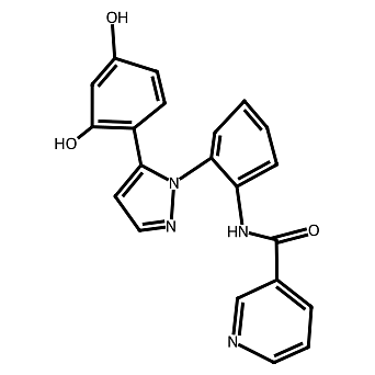 O=C(Nc1ccccc1-n1nccc1-c1ccc(O)cc1O)c1cccnc1